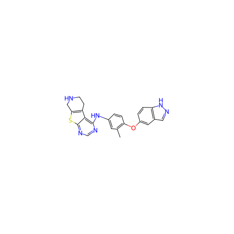 Cc1cc(Nc2ncnc3sc4c(c23)CCNC4)ccc1Oc1ccc2[nH]ncc2c1